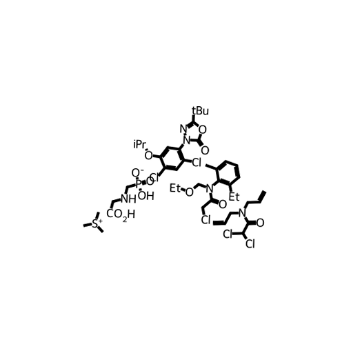 C=CCN(CC=C)C(=O)C(Cl)Cl.CC(C)Oc1cc(-n2nc(C(C)(C)C)oc2=O)c(Cl)cc1Cl.CCOCN(C(=O)CCl)c1c(C)cccc1CC.C[S+](C)C.O=C(O)CNCP(=O)([O-])O